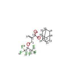 C=C(COC(C(F)(F)F)C(F)(F)F)C(=O)OC12CC3CC(CC(C3)C1)C2